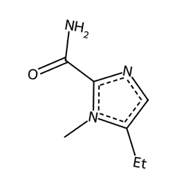 CCc1cnc(C(N)=O)n1C